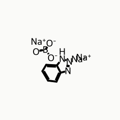 [Na+].[Na+].[Na+].[O-]B([O-])[O-].c1ccc2[nH]nnc2c1